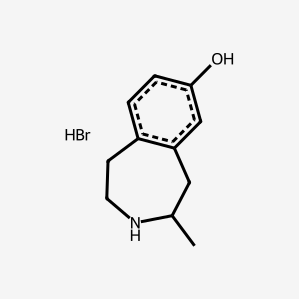 Br.CC1Cc2cc(O)ccc2CCN1